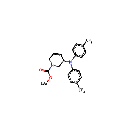 CC(C)(C)OC(=O)N1CC=CC(N(c2ccc(C(F)(F)F)cc2)c2ccc(C(F)(F)F)cc2)C1